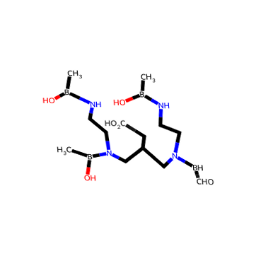 CB(O)NCCN(BC=O)CC(CC(=O)O)CN(CCNB(C)O)B(C)O